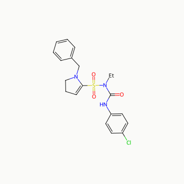 CCN(C(=O)Nc1ccc(Cl)cc1)S(=O)(=O)C1=CCCN1Cc1ccccc1